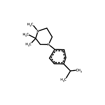 CC(C)c1ccc(N2CCN(C)C(C)(C)C2)cc1